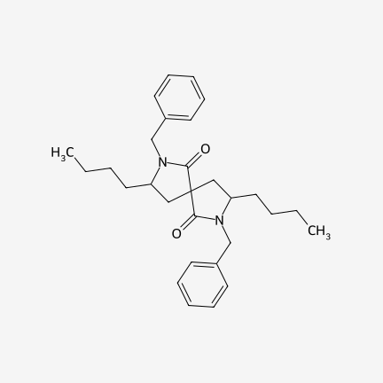 CCCCC1CC2(CC(CCCC)N(Cc3ccccc3)C2=O)C(=O)N1Cc1ccccc1